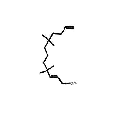 C=CCCC(C)(C)CCCC(C)(C)C=CCOC(C)=O